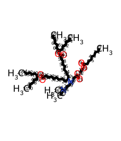 CCCCCCCCC(=O)OCCOC(=O)CCN(CCCN(CC)CC)C(CCCCCCCCC(=O)OC(CCCCCC)CCCCCC)CCCCCCCCC(=O)OC(CCCCCC)CCCCCC